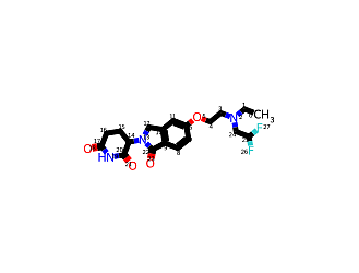 CCN(CCOc1ccc2c(c1)CN(C1CCC(=O)NC1=O)C2=O)CC(F)F